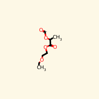 CCOCCOC(=O)C(C)O[C]=O